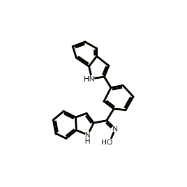 O/N=C(/c1cccc(-c2cc3ccccc3[nH]2)c1)c1cc2ccccc2[nH]1